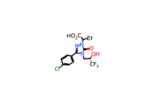 CCC(C(=O)O)n1nc(-c2ccc(Cl)cc2)n(C[C@H](O)C(F)(F)F)c1=O